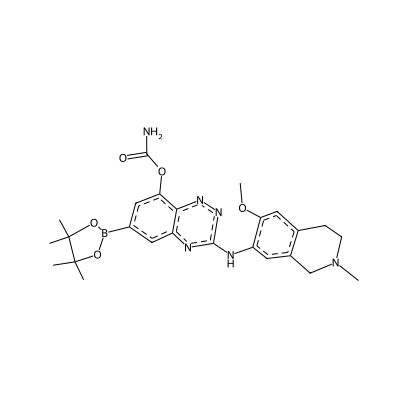 COc1cc2c(cc1Nc1nnc3c(OC(N)=O)cc(B4OC(C)(C)C(C)(C)O4)cc3n1)CN(C)CC2